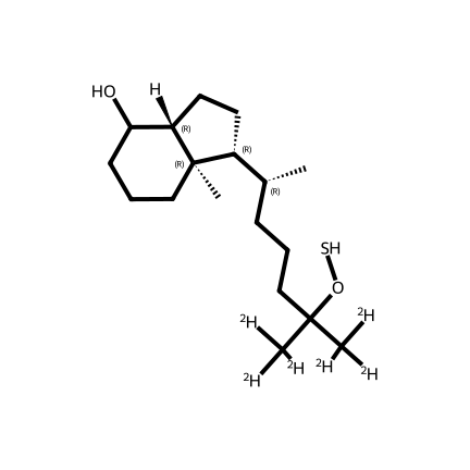 [2H]C([2H])([2H])C(CCC[C@@H](C)[C@H]1CC[C@H]2C(O)CCC[C@]12C)(OS)C([2H])([2H])[2H]